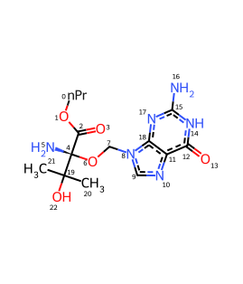 CCCOC(=O)[C@](N)(OCn1cnc2c(=O)[nH]c(N)nc21)C(C)(C)O